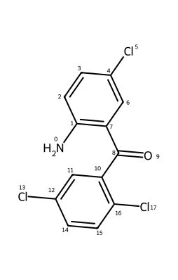 Nc1ccc(Cl)cc1C(=O)c1cc(Cl)ccc1Cl